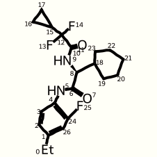 CCc1ccc(NC(=O)[C@@H](NC(=O)C(F)(F)C2CC2)C2CCCCC2)c(F)c1